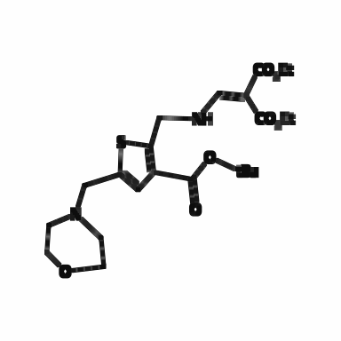 CCOC(=O)C(=CNCc1sc(CN2CCOCC2)cc1C(=O)OC(C)(C)C)C(=O)OCC